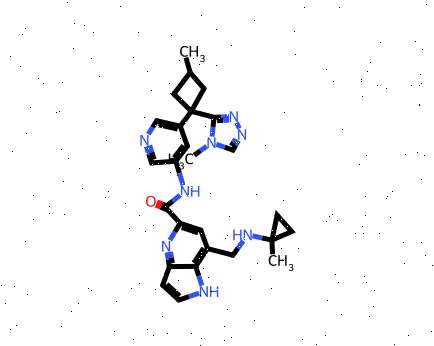 CC1CC(c2cncc(NC(=O)c3cc(CNC4(C)CC4)c4[nH]ccc4n3)c2)(c2nncn2C)C1